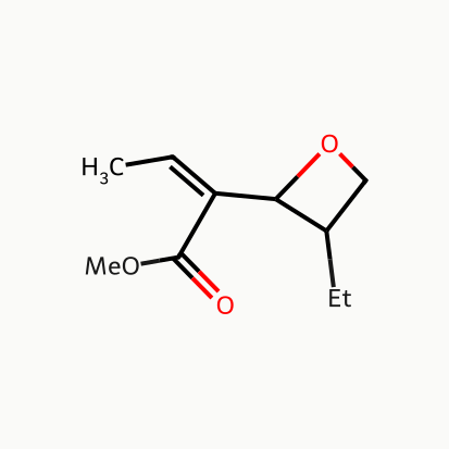 CC=C(C(=O)OC)C1OCC1CC